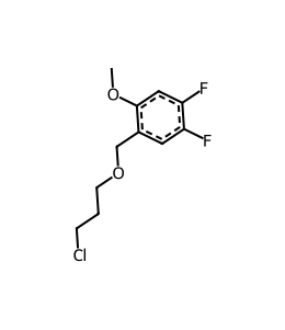 COc1cc(F)c(F)cc1COCCCCl